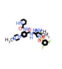 CN1CCN(c2ccc(C(=O)Nc3n[nH]c4c3CN(S(=O)(=O)c3cc(F)cc(F)c3)C4(C)C)c(NC(=O)C3CCCCN3)c2)CC1